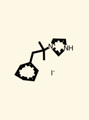 CC(C)(Cc1ccccc1)[n+]1cc[nH]c1.[I-]